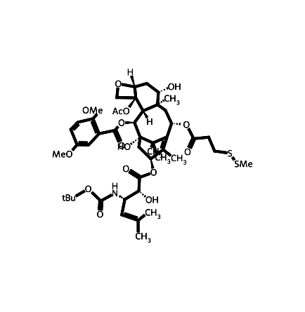 COc1ccc(OC)c(C(=O)O[C@H]2[C@H]3[C@](C)(C[C@H](OC(=O)CCSSC)C4=C(C)[C@@H](OC(=O)[C@H](O)[C@H](C=C(C)C)NC(=O)OC(C)(C)C)C[C@]2(O)C4(C)C)[C@@H](O)C[C@H]2OC[C@]23OC(C)=O)c1